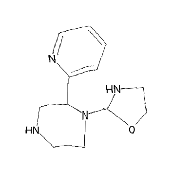 c1ccc(C2CNCCN2[C]2NCCO2)nc1